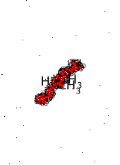 Cc1cc(C)c(N(c2cccc(-c3cccc(N(c4ccccc4)c4ccc(-c5ccc6cc7c8c(cccc8c6c5)Oc5cc(N(c6ccccc6)c6ccccc6-c6ccccc6)ccc5-7)cc4)c3)c2)c2ccc3c(c2)Oc2cccc4c2c-3cc2ccc(-c3ccc(N(c5ccccc5)c5ccccc5)cc3)cc24)c(C)c1